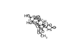 CC(=O)O[C@H]1[C@H]2O[C@]23[C@@H]2CC[C@@]4(O)C[C@@H](O)C[C@H]4C(=O)[C@H]2CC[C@]3(C)[C@H]1c1ccc(=O)oc1